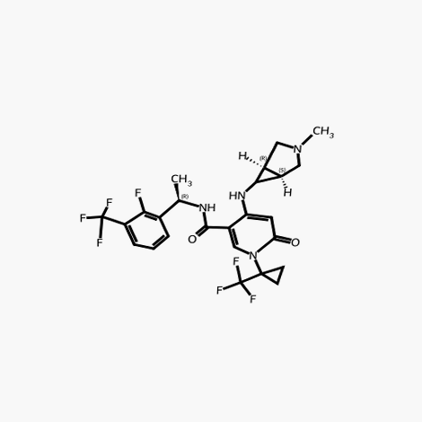 C[C@@H](NC(=O)c1cn(C2(C(F)(F)F)CC2)c(=O)cc1NC1[C@H]2CN(C)C[C@@H]12)c1cccc(C(F)(F)F)c1F